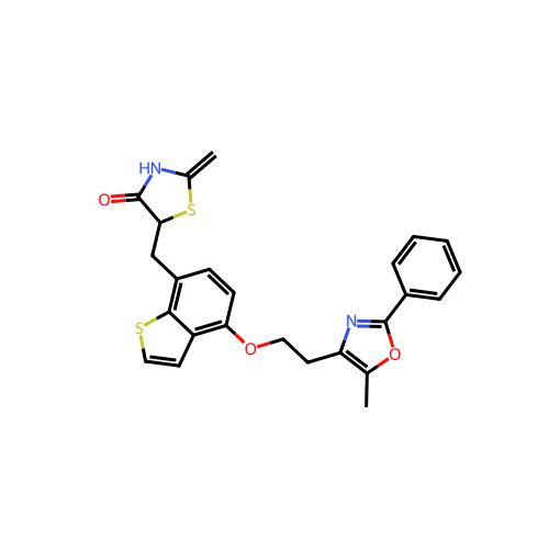 C=C1NC(=O)C(Cc2ccc(OCCc3nc(-c4ccccc4)oc3C)c3ccsc23)S1